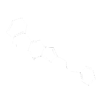 Cc1ccncc1-c1cnc2nc(COc3ccccc3)cn2c1